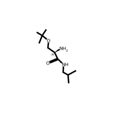 CC(C)CNC(=O)[C@H](N)COC(C)(C)C